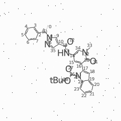 C[C@@H](c1ccccc1)n1cc(C(=O)Nc2cc(-c3cc4ccccc4n3C(=O)OC(C)(C)C)c(=O)n(C)c2)cn1